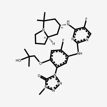 Cn1nnn(-c2cc(Nc3ncc(F)c(N[C@@H]4C[C@H]5CCCN5C(C)(C)C4)n3)c(F)cc2OCC(C)(C)O)c1=O